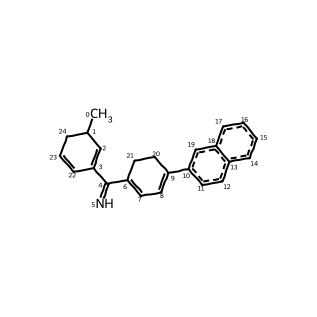 CC1C=C(C(=N)C2=CC=C(c3ccc4ccccc4c3)CC2)C=CC1